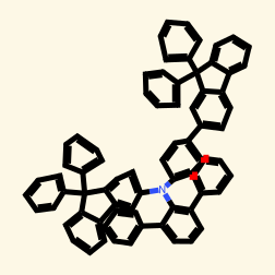 c1ccc(-c2cccc(-c3ccccc3)c2N(c2ccc(-c3ccc4c(c3)C(c3ccccc3)(c3ccccc3)c3ccccc3-4)cc2)c2ccc3c(c2)-c2ccccc2C3(c2ccccc2)c2ccccc2)cc1